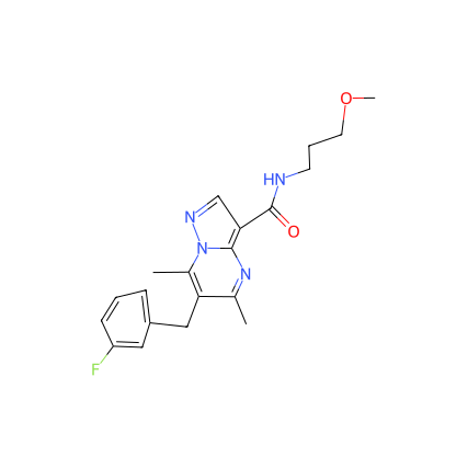 COCCCNC(=O)c1cnn2c(C)c(Cc3cccc(F)c3)c(C)nc12